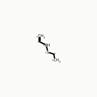 C=CBSCC